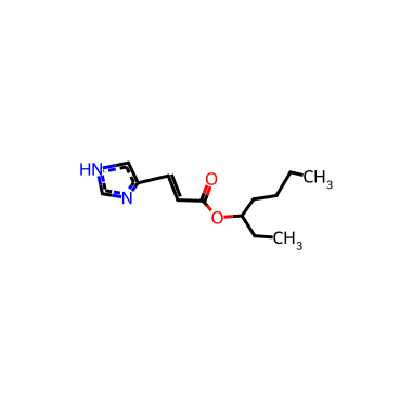 CCCCC(CC)OC(=O)C=Cc1c[nH]cn1